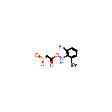 CC(C)c1cccc(C(C)C)c1NOC(=O)C=S(=O)=O